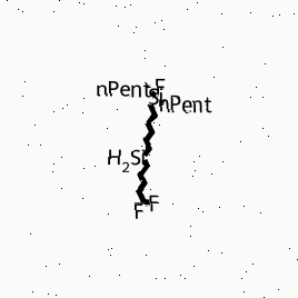 CCCCC[Si](F)(CCCCC)CCCCCC[SiH2]CCCCC(F)F